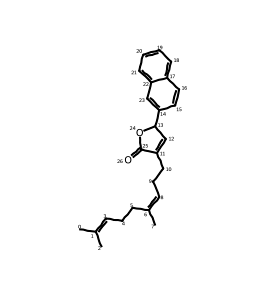 CC(C)=CCCC(C)=CCCC1=CC(c2ccc3ccccc3c2)OC1=O